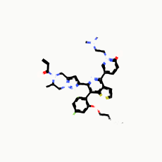 C=CC(=O)N1Cc2cc(-c3nc(-c4ccc(=O)n(CCN(C)C)c4)c4ccsc4c3-c3c(F)cc(F)cc3OCCOC)nn2CC1C